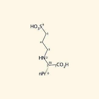 CCC[C@H](NCCCS(=O)(=O)O)C(=O)O